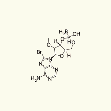 B[PH]1(O)OC[C@H]2O[C@@H](n3c(Br)nc4c(N)ncnc43)C(OC)[C@@H]2O1